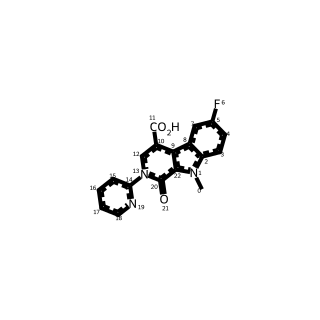 Cn1c2ccc(F)cc2c2c(C(=O)O)cn(-c3ccccn3)c(=O)c21